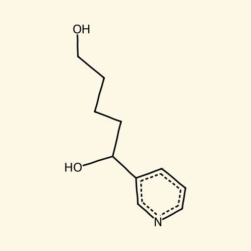 OCCCCC(O)c1cccnc1